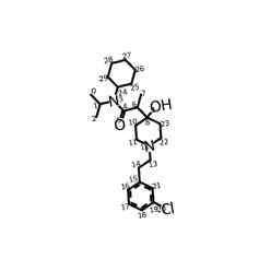 CC(C)N(C(=O)C(C)C1(O)CCN(CCc2cccc(Cl)c2)CC1)C1CCCCC1